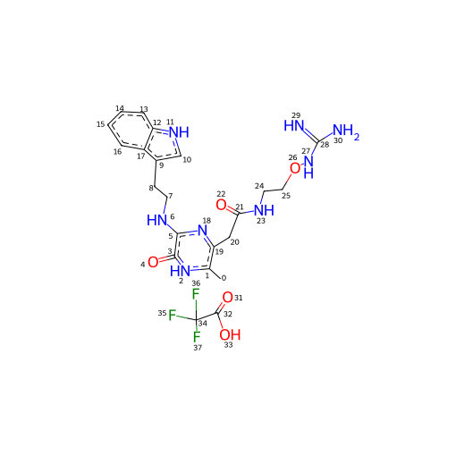 Cc1[nH]c(=O)c(NCCc2c[nH]c3ccccc23)nc1CC(=O)NCCONC(=N)N.O=C(O)C(F)(F)F